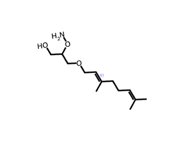 CC(C)=CCC/C(C)=C/COCC(CO)ON